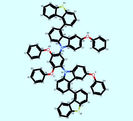 c1ccc(Oc2ccc3c(c2)c2c(-c4cccc5sc6ccccc6c45)cccc2n3-c2cc(-n3c4ccc(Oc5ccccc5)cc4c4c(-c5cccc6sc7ccccc7c56)cccc43)c(Oc3ccccc3)cc2Oc2ccccc2)cc1